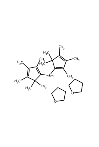 C1CCOC1.C1CCOC1.CC1=C(C)C(C)(C)[C]([Sm][C]2=C(C)C(C)=C(C)C2(C)C)=C1C